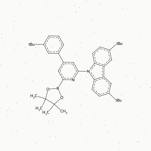 CC(C)(C)c1cccc(-c2cc(B3OC(C)(C)C(C)(C)O3)nc(-n3c4ccc(C(C)(C)C)cc4c4cc(C(C)(C)C)ccc43)c2)c1